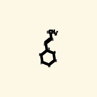 [CH2]/C=C/C1CCCCC1